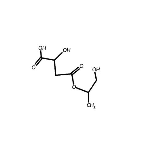 CC(CO)OC(=O)CC(O)C(=O)O